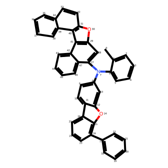 Cc1ccccc1N(c1ccc2c(c1)oc1c(-c3ccccc3)cccc12)c1cc2oc3ccc4ccccc4c3c2c2ccccc12